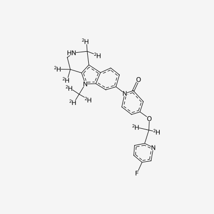 [2H]C1([2H])CNC([2H])([2H])c2c1n(C([2H])([2H])[2H])c1cc(-n3ccc(OC([2H])([2H])c4ccc(F)cn4)cc3=O)ccc21